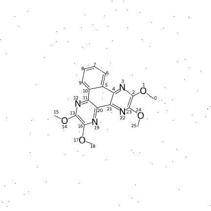 COc1nc2c3ccccc3c3nc(OC)c(OC)nc3c2nc1OC